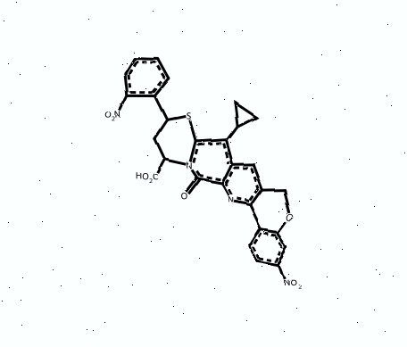 O=C(O)C1CC(c2ccccc2[N+](=O)[O-])Sc2c(C3CC3)c3cc4c(nc3c(=O)n21)-c1ccc([N+](=O)[O-])cc1OC4